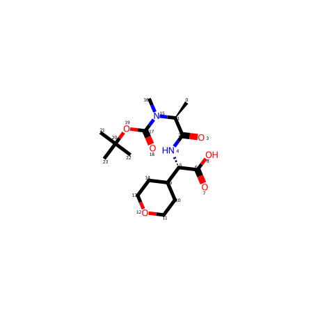 C[C@@H](C(=O)N[C@H](C(=O)O)C1CCOCC1)N(C)C(=O)OC(C)(C)C